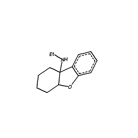 CCNC12CCCCC1Oc1ccccc12